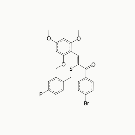 COc1cc(OC)c(C=C(SCc2ccc(F)cc2)C(=O)c2ccc(Br)cc2)c(OC)c1